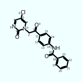 O=C(Cn1cc(Cl)cnc1=O)c1ccc(NC(=O)c2ccccc2)cc1